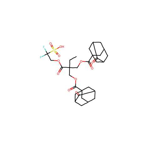 CCC(COC(=O)C12CC3CC(C1)C(=O)C(C3)C2)(COC(=O)C12CC3CC(C1)C(=O)C(C3)C2)C(=O)OCC(F)(F)S(=O)(=O)O